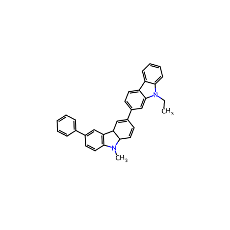 CCn1c2ccccc2c2ccc(C3=CC4c5cc(-c6ccccc6)ccc5N(C)C4C=C3)cc21